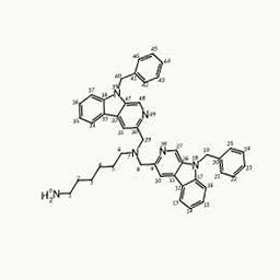 NCCCCCCN(Cc1cc2c3ccccc3n(Cc3ccccc3)c2cn1)Cc1cc2c3ccccc3n(Cc3ccccc3)c2cn1